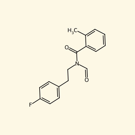 Cc1ccccc1C(=O)N(C=O)CCc1ccc(F)cc1